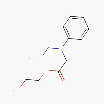 O=C(O)CN(CC(=O)OCCO)c1ccccc1